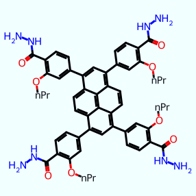 CCCOc1cc(-c2cc(-c3ccc(C(=O)NN)c(OCCC)c3)c3ccc4c(-c5ccc(C(=O)NN)c(OCCC)c5)cc(-c5ccc(C(=O)NN)c(OCCC)c5)c5ccc2c3c54)ccc1C(=O)NN